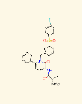 CN[C@@H](C)C(=O)Nc1ccc(-c2ccccc2)n(Cc2cccc(S(=O)(=O)c3ccc(F)cc3)c2)c1=O